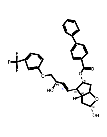 O=C(O[C@@H]1CC2O[C@H](O)C[C@@H]2[C@H]1/C=C/[C@@H](O)COc1cccc(C(F)(F)F)c1)c1ccc(-c2ccccc2)cc1